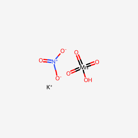 O=[N+]([O-])[O-].[K+].[O]=[Mn](=[O])(=[O])[OH]